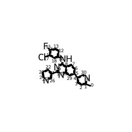 Cc1ccc(-c2ccc3c(Nc4ccc(F)c(Cl)c4)nc(-c4cccnc4)nc3c2)cn1